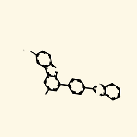 CCC(C)c1ccc2sc3c(-c4ccc(-c5nc6ccccc6o5)cc4)cc(C(C)CC)cc3c2c1